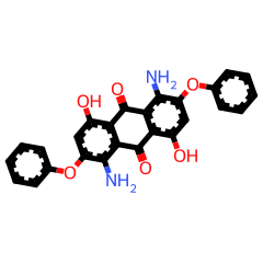 Nc1c(Oc2ccccc2)cc(O)c2c1C(=O)c1c(O)cc(Oc3ccccc3)c(N)c1C2=O